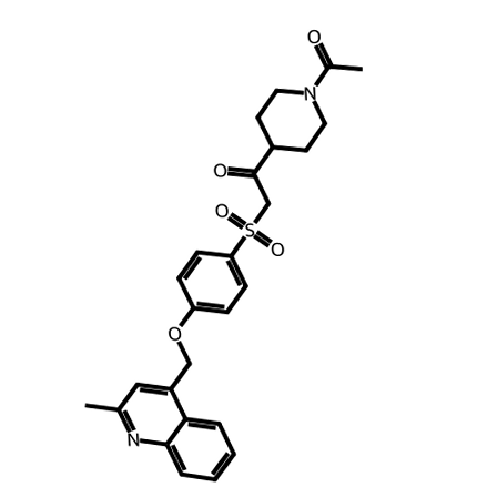 CC(=O)N1CCC(C(=O)CS(=O)(=O)c2ccc(OCc3cc(C)nc4ccccc34)cc2)CC1